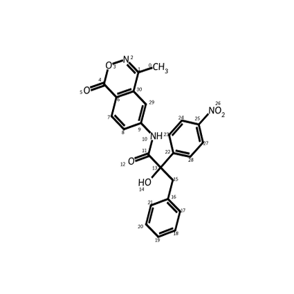 Cc1noc(=O)c2ccc(NC(=O)C(O)(Cc3ccccc3)c3ccc([N+](=O)[O-])cc3)cc12